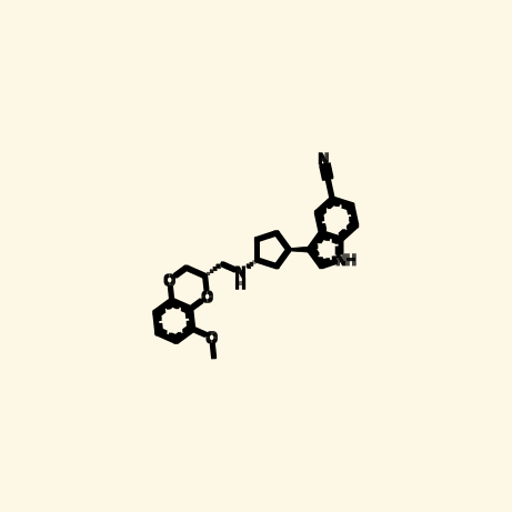 COc1cccc2c1O[C@@H](CN[C@@H]1CC[C@@H](c3c[nH]c4ccc(C#N)cc34)C1)CO2